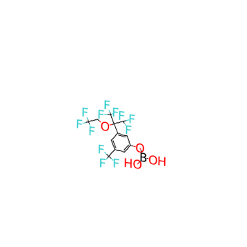 OB(O)Oc1cc(C(F)(F)F)cc(C(OCC(F)(F)F)(C(F)(F)F)C(F)(F)F)c1